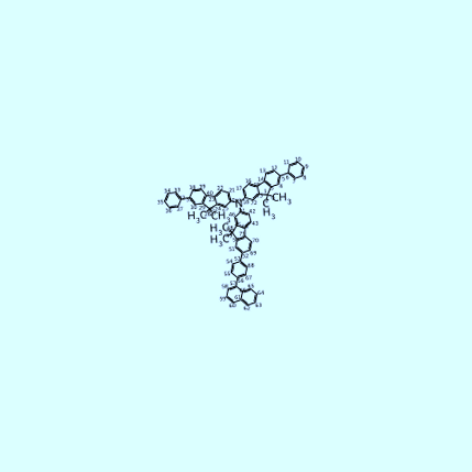 CC1(C)c2cc(-c3ccccc3)ccc2-c2ccc(N(c3ccc4c(c3)C(C)(C)c3cc(-c5ccccc5)ccc3-4)c3ccc4c(c3)C(C)(C)c3cc(-c5ccc(-c6cccc7ccccc67)cc5)ccc3-4)cc21